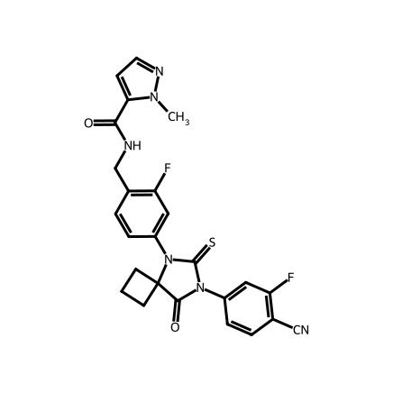 Cn1nccc1C(=O)NCc1ccc(N2C(=S)N(c3ccc(C#N)c(F)c3)C(=O)C23CCC3)cc1F